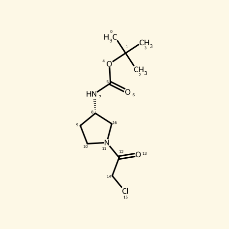 CC(C)(C)OC(=O)N[C@H]1CCN(C(=O)CCl)C1